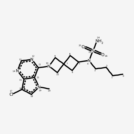 CCCCN(C1CC2(C1)CN(c1ncnc3c(Cl)cn(C)c13)C2)S(N)(=O)=O